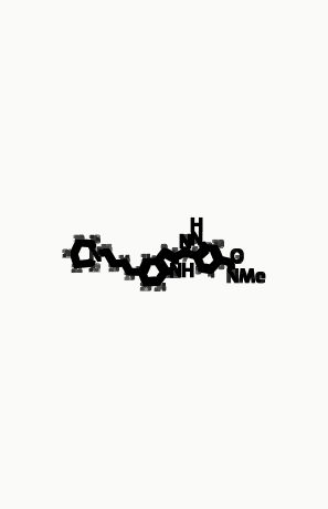 CNC(=O)c1ccc2c(-c3cc4cc(CCCCN5CCCCC5)ccc4[nH]3)n[nH]c2c1